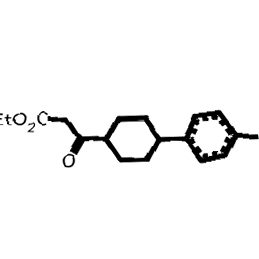 CCOC(=O)CC(=O)C1CCC(c2ccc(Cl)cc2)CC1